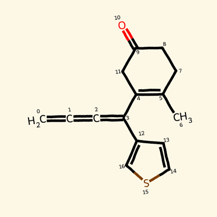 C=C=C=C(C1=C(C)CCC(=O)C1)c1ccsc1